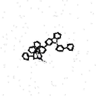 C\C1=C(n2c3c(c4cc(-c5ccc6c7ccccc7n(-c7cccc(-c8ccccc8)c7)c6c5)ccc42)C=CCC3)/C=C(c2ccccc2)\C=C(\C2=CC=CCC2)CC1